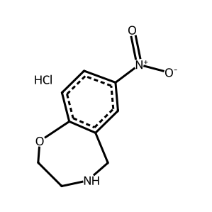 Cl.O=[N+]([O-])c1ccc2c(c1)CNCCO2